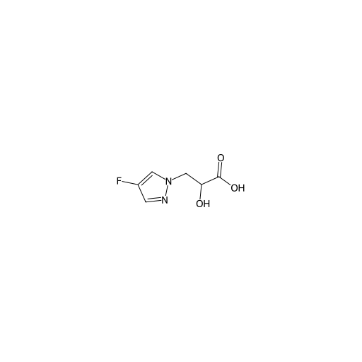 O=C(O)C(O)Cn1cc(F)cn1